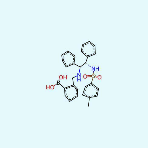 Cc1ccc(S(=O)(=O)N[C@@H](c2ccccc2)[C@@H](NCc2ccccc2B(O)O)c2ccccc2)cc1